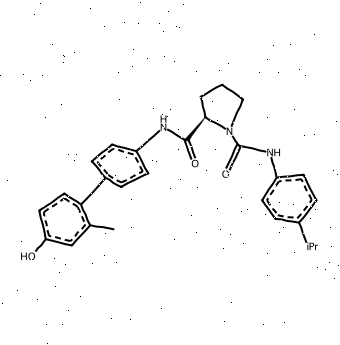 Cc1cc(O)ccc1-c1ccc(NC(=O)[C@H]2CCCN2C(=O)Nc2ccc(C(C)C)cc2)cc1